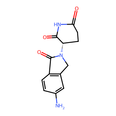 Nc1ccc2c(c1)CN([C@H]1CCC(=O)NC1=O)C2=O